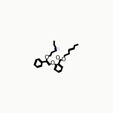 CCC=CCCOC(=O)c1ccccc1OC=C(OCC/C=C\CC)c1ccccc1